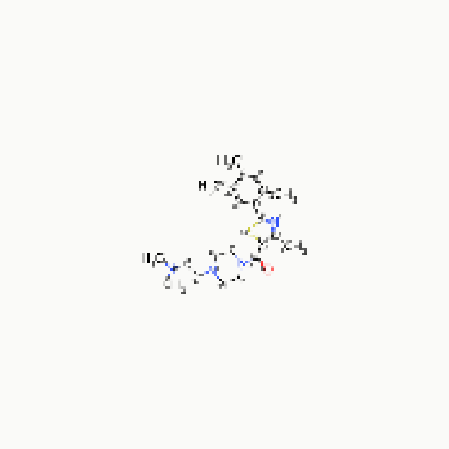 Cc1cc(C)c(-c2nc(C)c(C(=O)N3CCN(CCN(C)C)CC3)s2)cc1C